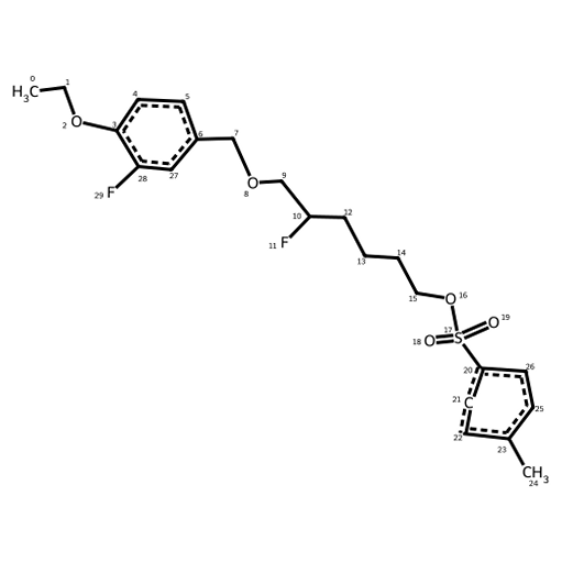 CCOc1ccc(COCC(F)CCCCOS(=O)(=O)c2ccc(C)cc2)cc1F